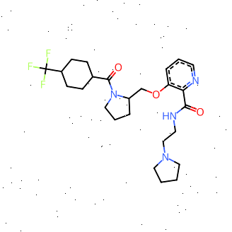 O=C(NCCN1CCCC1)c1ncccc1OCC1CCCN1C(=O)C1CCC(C(F)(F)F)CC1